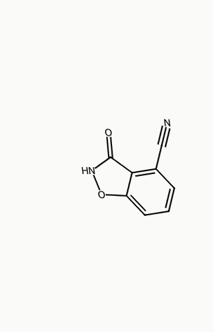 N#Cc1cccc2o[nH]c(=O)c12